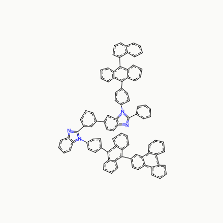 c1ccc(-c2nc3ccc(-c4cccc(-c5nc6ccccc6n5-c5ccc(-c6c7ccccc7c(-c7ccc8c9ccccc9c9ccccc9c8c7)c7ccccc67)cc5)c4)cc3n2-c2ccc(-c3c4ccccc4c(-c4cccc5ccccc45)c4ccccc34)cc2)cc1